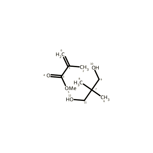 C=C(C)C(=O)OC.CC(C)(CO)CO